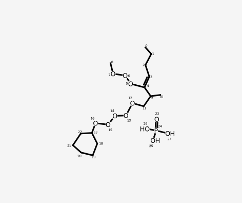 CCCC=C(OOOC)C(C)COOOOOC1CCCCC1.O=P(O)(O)O